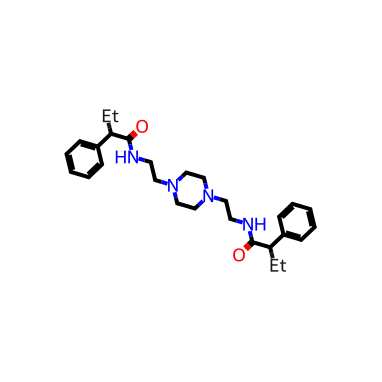 CCC(C(=O)NCCN1CCN(CCNC(=O)C(CC)c2ccccc2)CC1)c1ccccc1